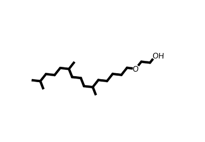 CC(C)CCCC(C)CCCC(C)CCCCCOCCO